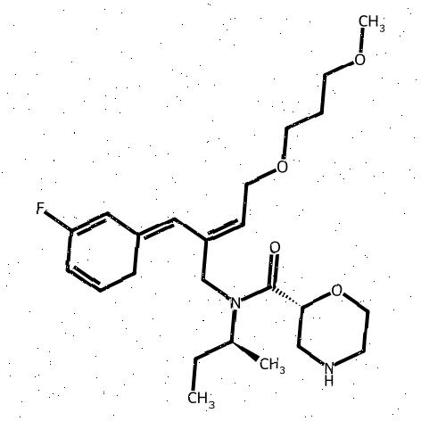 CC[C@H](C)N(CC(/C=C1/C=C(F)C=CC1)=C/COCCCOC)C(=O)[C@H]1CNCCO1